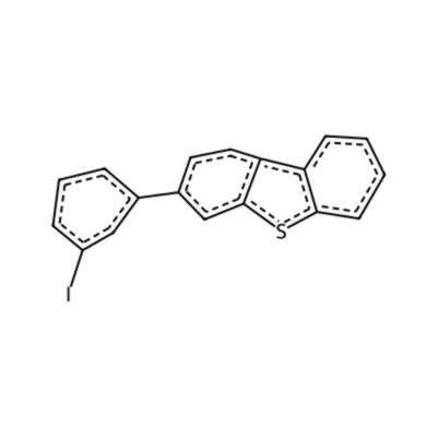 Ic1cccc(-c2ccc3c(c2)sc2ccccc23)c1